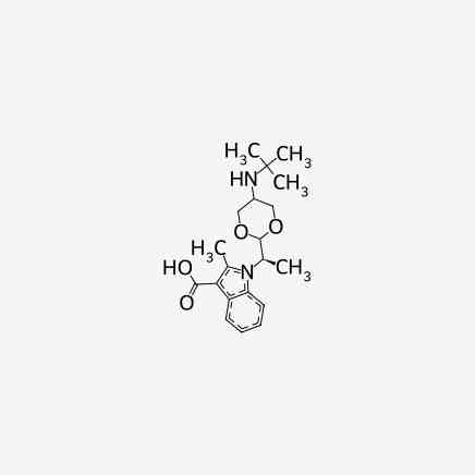 Cc1c(C(=O)O)c2ccccc2n1[C@H](C)C1OCC(NC(C)(C)C)CO1